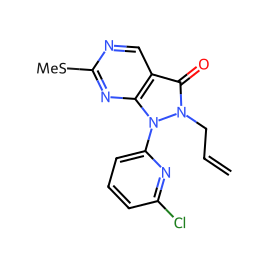 C=CCn1c(=O)c2cnc(SC)nc2n1-c1cccc(Cl)n1